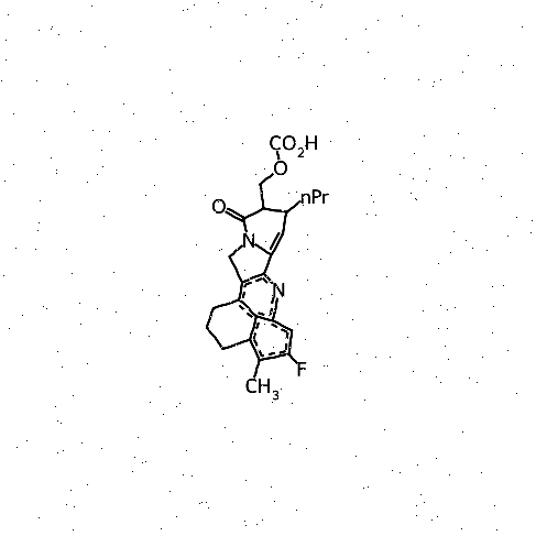 CCCC1C=C2c3nc4cc(F)c(C)c5c4c(c3CN2C(=O)C1COC(=O)O)CCC5